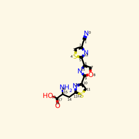 N#Cc1csc(-c2coc(-c3csc(CC(N)C(=O)O)n3)n2)n1